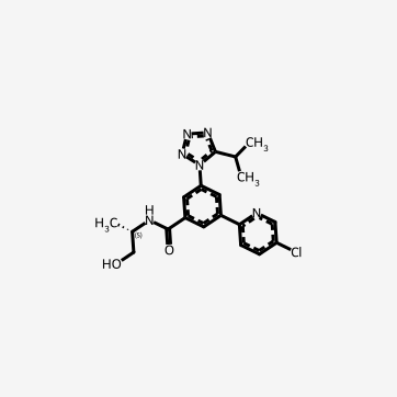 CC(C)c1nnnn1-c1cc(C(=O)N[C@@H](C)CO)cc(-c2ccc(Cl)cn2)c1